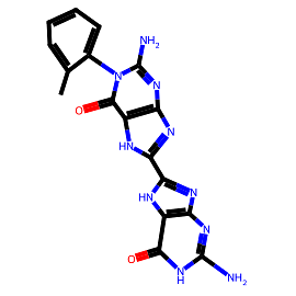 Cc1ccccc1-n1c(N)nc2nc(-c3nc4nc(N)[nH]c(=O)c4[nH]3)[nH]c2c1=O